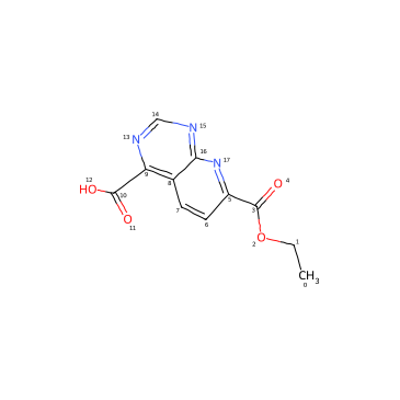 CCOC(=O)c1ccc2c(C(=O)O)ncnc2n1